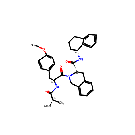 CCCCOc1ccc(C[C@H](NC(=O)[C@H](C)NC)C(=O)N2Cc3ccccc3C[C@H]2C(=O)N[C@@H]2CCCc3ccccc32)cc1